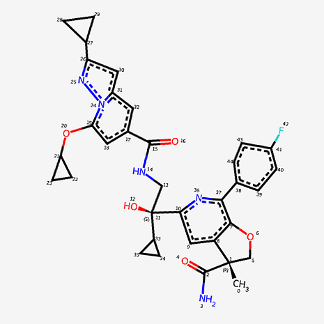 C[C@]1(C(N)=O)COc2c1cc([C@@](O)(CNC(=O)c1cc(OC3CC3)n3nc(C4CC4)cc3c1)C1CC1)nc2-c1ccc(F)cc1